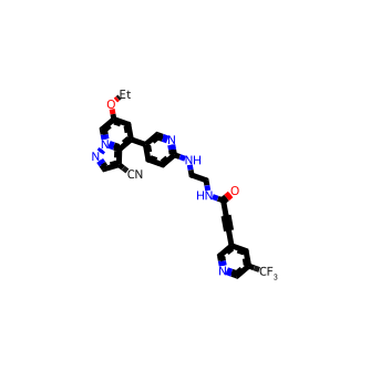 CCOc1cc(-c2ccc(NCCNC(=O)C#Cc3cncc(C(F)(F)F)c3)nc2)c2c(C#N)cnn2c1